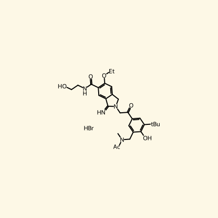 Br.CCOc1cc2c(cc1C(=O)NCCO)C(=N)N(CC(=O)c1cc(CN(C)C(C)=O)c(O)c(C(C)(C)C)c1)C2